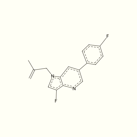 C=C(C)Cn1cc(F)c2ncc(-c3ccc(F)cc3)cc21